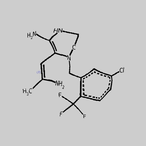 C/C(N)=C/C1=C(N)NCCN1Cc1cc(Cl)ccc1C(F)(F)F